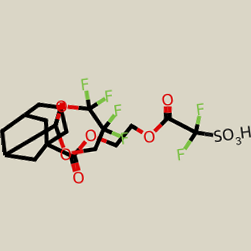 O=C(OCCOC(=O)C(F)(F)S(=O)(=O)O)C12CC3CC(C1)C1(OCC(F)(F)C(F)(F)O1)C(C3)C2